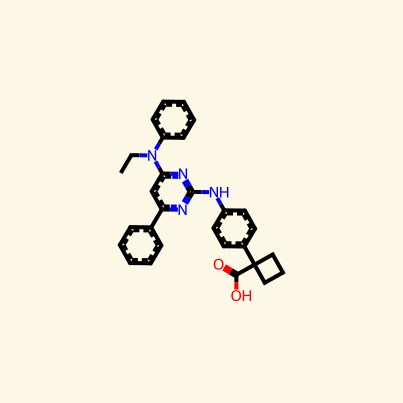 CCN(c1ccccc1)c1cc(-c2ccccc2)nc(Nc2ccc(C3(C(=O)O)CCC3)cc2)n1